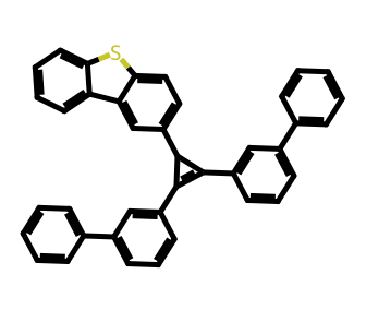 c1ccc(-c2cccc(C3=C(c4cccc(-c5ccccc5)c4)C3c3ccc4sc5ccccc5c4c3)c2)cc1